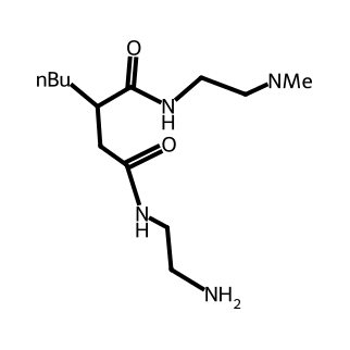 CCCCC(CC(=O)NCCN)C(=O)NCCNC